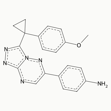 COc1ccc(C2(c3nnc4ncc(-c5ccc(N)cc5)nn34)CC2)cc1